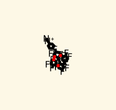 Fc1cc(F)c([B-](c2c(F)cc(F)c(F)c2F)(c2c(F)cc(F)c(F)c2F)c2c(F)cc(F)c(F)c2F)c(F)c1F.N#[N+]c1ccccc1